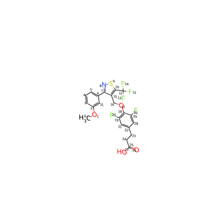 COc1cccc(-c2nsc(C(F)(F)F)c2COc2c(F)cc(CCC(=O)O)cc2F)c1